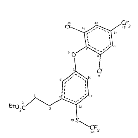 CCOC(=O)CCc1cc(Oc2c(Cl)cc(C(F)(F)F)cc2Cl)ccc1SC(F)(F)F